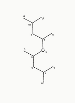 CC(C)CC(C)OC(C)CC(C)C